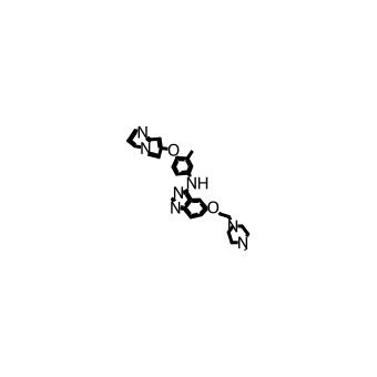 Cc1cc(Nc2ncnc3ccc(OCCN4CCN(C)CC4)cc23)ccc1OC1=CC2=NC=C=CN2C=C1